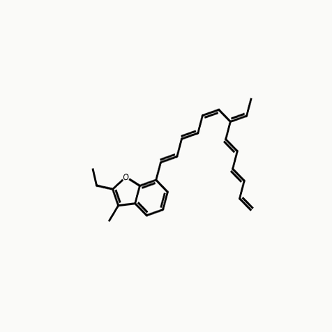 C=C/C=C/C=C/C(/C=C\C=C\C=C\c1cccc2c(C)c(CC)oc12)=C/C